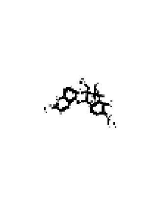 COc1ccc(C(Nc2cccc3nc(C)ccc23)C(O)(CO)C(F)(F)F)c(F)c1Cl